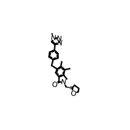 Cc1c(Cc2ccc(-c3cn(C)nn3)cc2)cc2c(c1C)CN(C[C@H]1CCCO1)C2=O